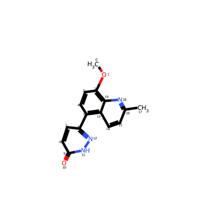 COc1ccc(-c2ccc(=O)[nH]n2)c2ccc(C)nc12